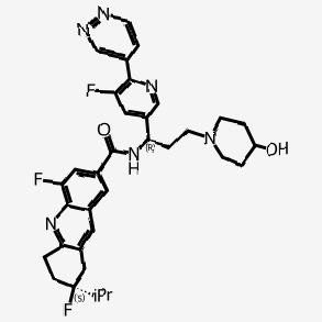 CC(C)[C@]1(F)CCc2nc3c(F)cc(C(=O)N[C@H](CCN4CCC(O)CC4)c4cnc(-c5ccnnc5)c(F)c4)cc3cc2C1